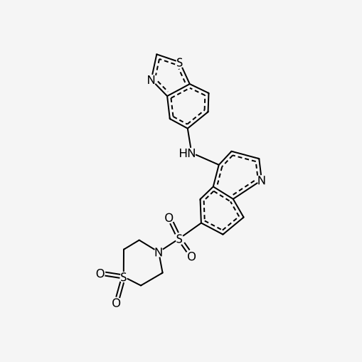 O=S1(=O)CCN(S(=O)(=O)c2ccc3nccc(Nc4ccc5scnc5c4)c3c2)CC1